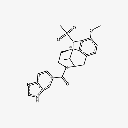 COc1ccc2c3c1N(S(C)(=O)=O)[C@]31CCN(C(=O)c3ccc4nc[nH]c4c3)C(C2)C1C